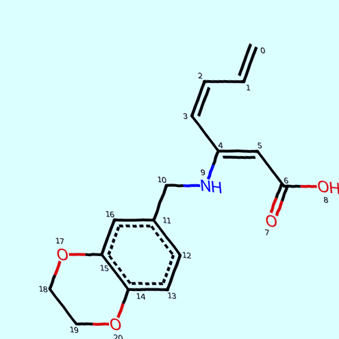 C=C/C=C\C(=C\C(=O)O)NCc1ccc2c(c1)OCCO2